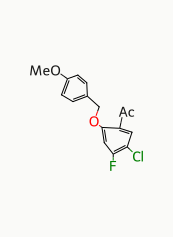 COc1ccc(COc2cc(F)c(Cl)cc2C(C)=O)cc1